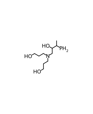 CC(P)C(O)CN(CCCO)CCCO